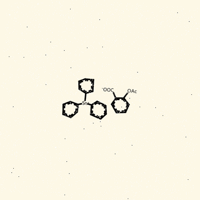 CC(=O)Oc1ccccc1C(=O)[O-].c1cc[c]([Sn+]([c]2ccccc2)[c]2ccccc2)cc1